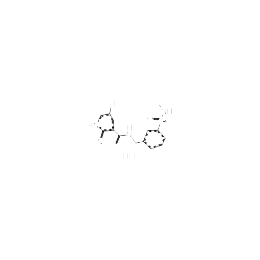 CNS(=O)(=O)c1cccc(CNC(=O)c2cc(Cl)c[nH]c2=N)c1.Cl